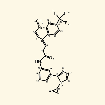 C=N/C=C\C(=C/CC(=O)Nc1cccc(-c2nncn2C2CC2)c1)c1ccc(C(F)(F)F)nc1